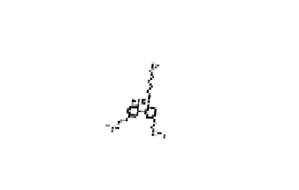 C=CCc1ccc(O)c(-c2cc(CC=C)ccc2OCCCCCCBr)c1